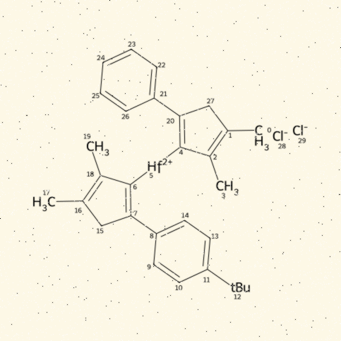 CC1=C(C)[C]([Hf+2][C]2=C(c3ccc(C(C)(C)C)cc3)CC(C)=C2C)=C(c2ccccc2)C1.[Cl-].[Cl-]